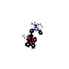 C=CC(=C)c1nc(-c2ccccc2)nc(-c2cccc(-c3cccc(-c4cccc5c4[C@@](c4ccccc4)(c4ccc(C)cc4)c4ccccc4-5)c3)c2)n1